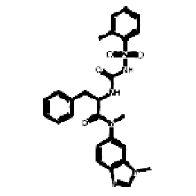 Cc1ccccc1S(=O)(=O)NC(=O)NC(Cc1ccccc1)C(=O)N(C)c1ccc2ncn(C)c2c1